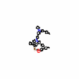 C=Cc1ccc(-c2ccc(OCCS(C)(C)CCCC3(c4ccccc4)c4ccccc4-c4ccc(N(c5ccc(-c6ccccc6)cc5)c5ccc(-c6ccc7c(c6)c6cc(-c8ccc(C=C)cc8)ccc6n7-c6ccccc6)cc5)cc43)cc2)cc1